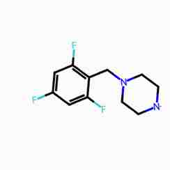 Fc1cc(F)c(CN2CC[N]CC2)c(F)c1